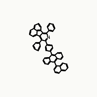 c1ccc(-c2nc(-c3ccc(-c4c5ccccc5c(-c5cccc6ccccc56)c5ccccc45)cc3)c(-c3ccccc3)c3c2-c2cccc4cccc-3c24)cc1